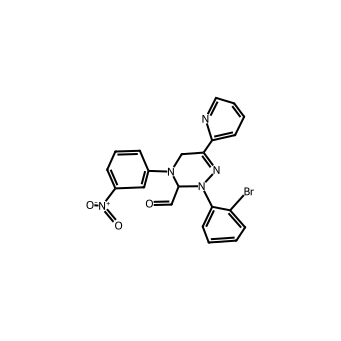 O=CC1N(c2cccc([N+](=O)[O-])c2)CC(c2ccccn2)=NN1c1ccccc1Br